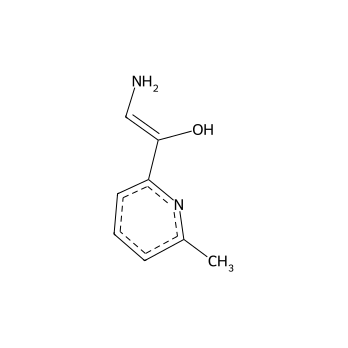 Cc1cccc(/C(O)=C/N)n1